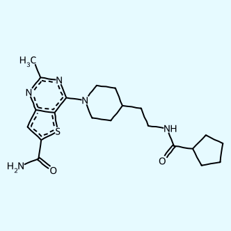 Cc1nc(N2CCC(CCNC(=O)C3CCCC3)CC2)c2sc(C(N)=O)cc2n1